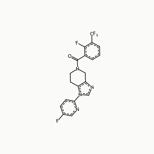 O=C(c1cccc(C(F)(F)F)c1F)N1CCc2c(ncn2-c2ccc(F)cn2)C1